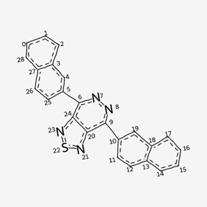 c1ccc2cc(-c3nnc(-c4ccc5ccccc5c4)c4nsnc34)ccc2c1